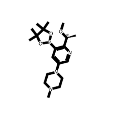 CO[C@@H](C)c1ncc(N2CCN(C)CC2)cc1B1OC(C)(C)C(C)(C)O1